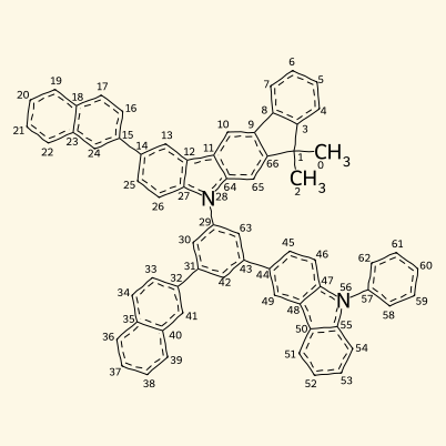 CC1(C)c2ccccc2-c2cc3c4cc(-c5ccc6ccccc6c5)ccc4n(-c4cc(-c5ccc6ccccc6c5)cc(-c5ccc6c(c5)c5ccccc5n6-c5ccccc5)c4)c3cc21